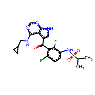 CC(C)S(=O)(=O)Nc1ccc(F)c(C(=O)c2c[nH]c3ncnc(NCC4CC4)c23)c1F